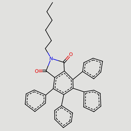 CCCCCCN1C(=O)c2c(c(-c3ccccc3)c(-c3ccccc3)c(-c3ccccc3)c2-c2ccccc2)C1=O